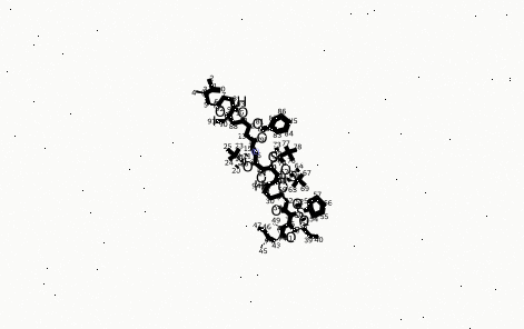 C=C(C)[C@H](C)C[C@H]1CC[C@@H]2OC(CCC(/C=C/[C@H](O[Si](C)(C)C(C)(C)C)[C@@H]3O[C@H]4CC[C@H](CC(=O)C(C5[C@H](CCC)O[C@H](C[C@H](C)CC)[C@@H]5C)S(=O)(=O)c5ccccc5)O[C@@H]4[C@H](O[Si](C)(C)C(C)(C)C)[C@@H]3O[Si](C)(C)C(C)(C)C)OC(=O)c3ccccc3)C[C@]2(CI)O1